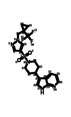 O=S(=O)(c1cnn(CC2(C(F)(F)F)CC2)c1)N1CCC(c2c[nH]c3ncccc23)CC1